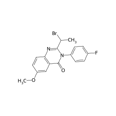 COc1ccc2nc(C(C)Br)n(-c3ccc(F)cc3)c(=O)c2c1